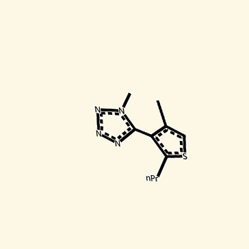 CCCc1scc(C)c1-c1nnnn1C